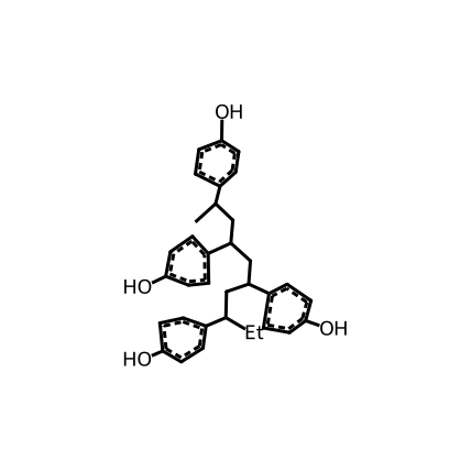 CCC(CC(CC(CC(C)c1ccc(O)cc1)c1ccc(O)cc1)c1ccc(O)cc1)c1ccc(O)cc1